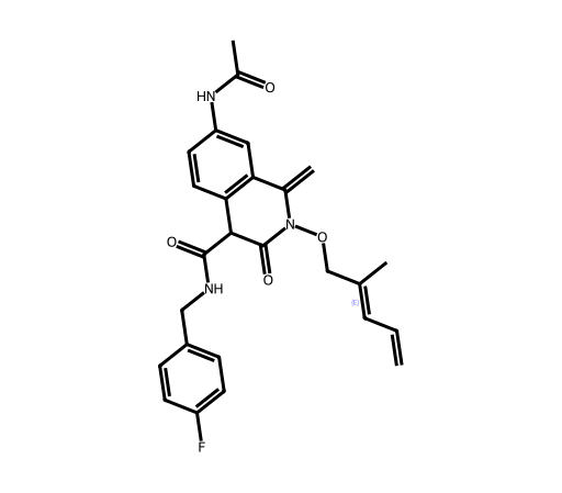 C=C/C=C(\C)CON1C(=C)c2cc(NC(C)=O)ccc2C(C(=O)NCc2ccc(F)cc2)C1=O